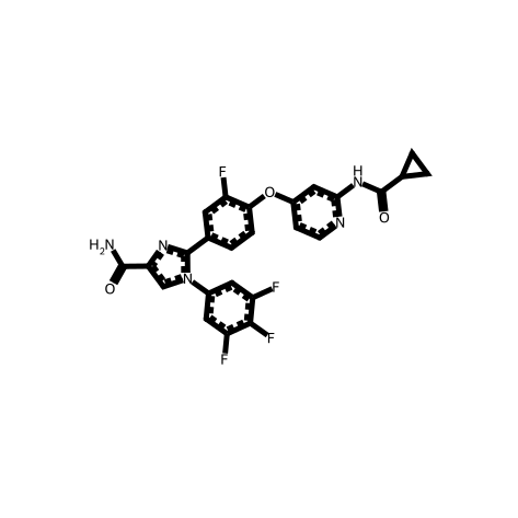 NC(=O)c1cn(-c2cc(F)c(F)c(F)c2)c(-c2ccc(Oc3ccnc(NC(=O)C4CC4)c3)c(F)c2)n1